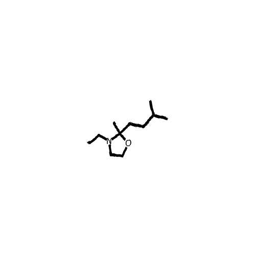 CCN1CCOC1(C)CCC(C)C